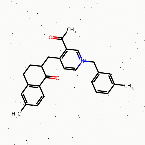 CC(=O)c1c[n+](Cc2cccc(C)c2)ccc1CC1CCc2cc(C)ccc2C1=O